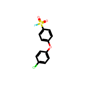 O=S(=O)(F)c1ccc(Oc2ccc(Cl)cc2)cc1